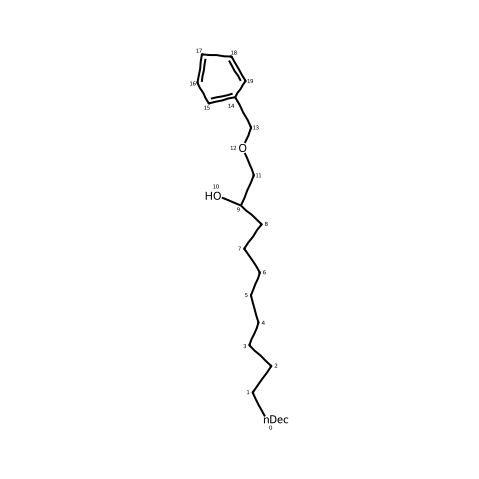 CCCCCCCCCCCCCCCCCCC(O)COCc1ccccc1